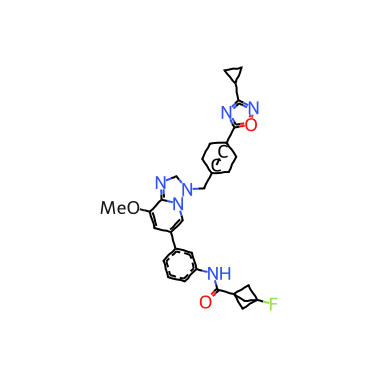 COC1=CC(c2cccc(NC(=O)C34CC(F)(C3)C4)c2)=CN2C1=NCN2CC12CCC(c3nc(C4CC4)no3)(CC1)CC2